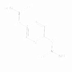 NC(=O)Oc1ccc(OC(N)=O)nc1